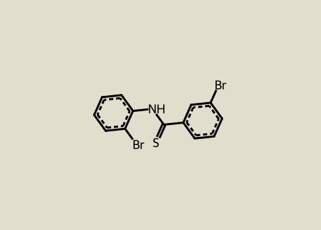 S=C(Nc1ccccc1Br)c1cccc(Br)c1